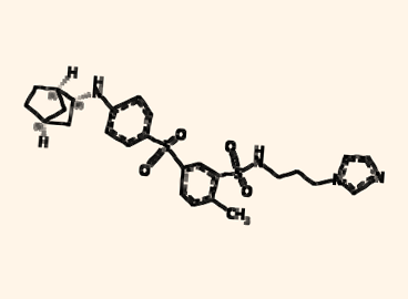 Cc1ccc(S(=O)(=O)c2ccc(N[C@@H]3C[C@H]4CC[C@@H]3C4)cc2)cc1S(=O)(=O)NCCCn1ccnc1